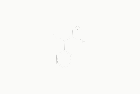 CO/C(C)=C(\C(C)=O)c1ccccc1